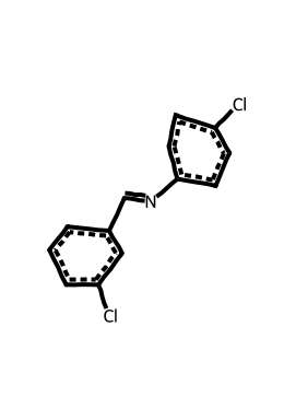 Clc1ccc(N=Cc2cccc(Cl)c2)cc1